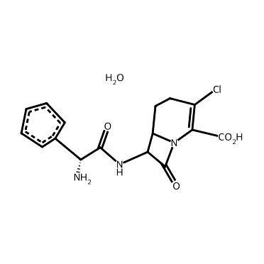 N[C@@H](C(=O)NC1C(=O)N2C(C(=O)O)=C(Cl)CCC12)c1ccccc1.O